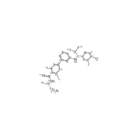 Cc1cc(C(Nc2cccc(-c3cc(C)c(C(=O)NC(C)C(=O)O)c(C)c3)c2)C(F)F)ccc1Cl